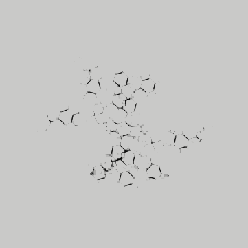 CCCCOC(=O)c1ccc(OCC(COc2cccc(F)c2)(COc2ccc(C(=O)OCCCC)cc2F)Cn2nc3c(-c4ccc(N(c5ccccc5)c5ccccc5)cc4)c4n[n+](CC(COc5cccc(F)c5)(COc5ccc(C(=O)OCCCC)cc5F)COc5ccc(C(=O)OCCCC)cc5F)[n-]c4c(-c4ccc(N(c5ccccc5)c5ccccc5)cc4)c3n2)c(F)c1